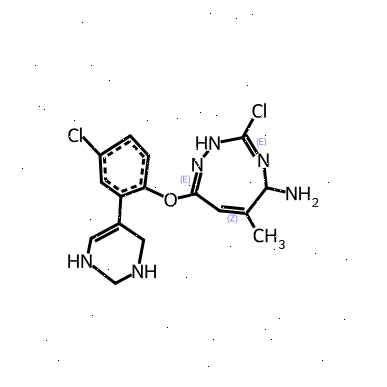 C/C1=C/C(Oc2ccc(Cl)cc2C2=CNCNC2)=N\N/C(Cl)=N\C1N